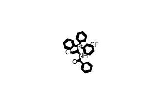 O=C(N/C(=C/Cl)[P+](c1ccccc1)(c1ccccc1)c1ccccc1)c1ccccc1.[Cl-]